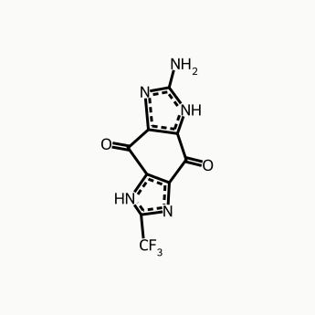 Nc1nc2c([nH]1)C(=O)c1nc(C(F)(F)F)[nH]c1C2=O